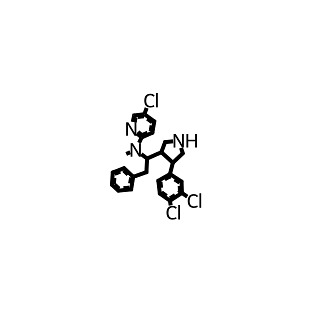 CN(c1ccc(Cl)cn1)C(Cc1ccccc1)C1CNCC1c1ccc(Cl)c(Cl)c1